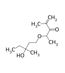 C=C(C)C(=O)C(C)OCCC(C)(O)CC